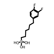 O[Si](O)(O)CCCCCCc1ccc(F)c(F)c1